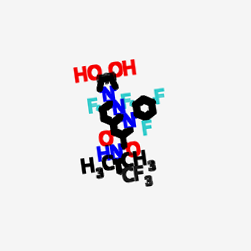 CC(C)(CC(F)(F)F)NC(=O)c1cn(-c2c(F)cc(F)cc2F)c2nc(N3C[C@@H](O)[C@H](O)C3)c(F)cc2c1=O